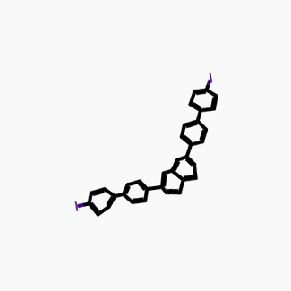 Ic1ccc(-c2ccc(-c3ccc4ccc(-c5ccc(-c6ccc(I)cc6)cc5)cc4c3)cc2)cc1